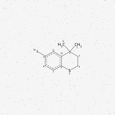 CC1(C)CCSc2ccc(I)cc21